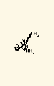 CCCCCn1ncc2c(-c3ccco3)nc(N)nc21